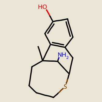 CC12CCCCSC(Cc3ccc(O)cc31)C2N